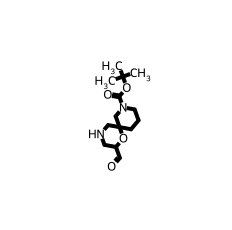 CC(C)(C)OC(=O)N1CCCC2(CNCC(C=O)O2)C1